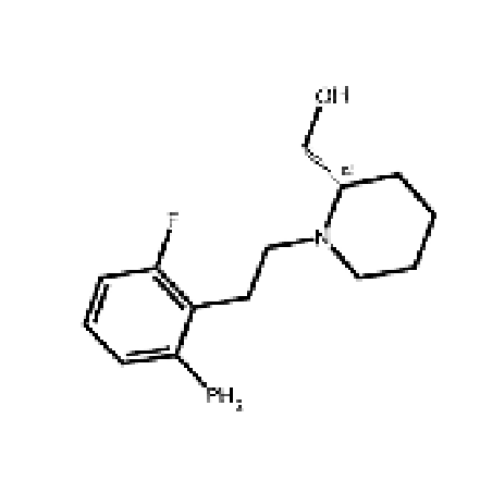 OC[C@@H]1CCCCN1CCc1c(F)cccc1P